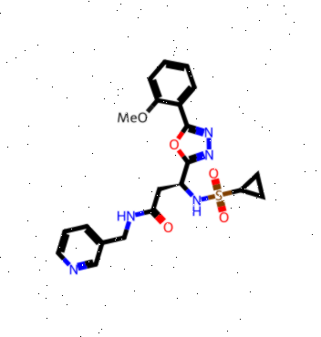 COc1ccccc1-c1nnc([C@H](CC(=O)NCc2cccnc2)NS(=O)(=O)C2CC2)o1